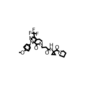 COc1ccc(-n2nc(C(F)(F)F)c3c2C(=O)N(CCC(=O)NC2(C(=O)N4CCCC4)CC2)CC3)cc1